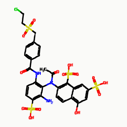 CC(=O)N(c1ccc2c(O)cc(S(=O)(=O)O)cc2c1S(=O)(=O)O)c1c(NC(=O)c2ccc(CS(=O)(=O)CCCl)cc2)ccc(S(=O)(=O)O)c1N